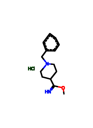 COC(=N)C1CCN(Cc2ccccc2)CC1.Cl